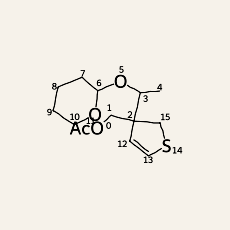 CC(=O)OCC1(C(C)OC2CCCCO2)C=CSC1